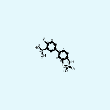 O=S1(=O)Nc2ccc(-c3ccc(F)c(B(O)O)c3)cc2O1